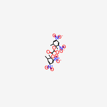 CC1C=C([N+](=O)[O-])C=C([N+](=O)[O-])C1(C)OC(=O)C(=O)OC1(C)C([N+](=O)[O-])=CC([N+](=O)[O-])=CC1C